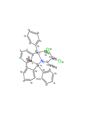 CCCCCCC(N([Si](c1ccccc1)(c1ccccc1)C(C)(C)C)[Si](c1ccccc1)(c1ccccc1)C(C)(C)C)[SiH](Cl)Cl